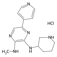 CNc1ncc(-c2ccncc2)nc1NC1CCCNC1.Cl